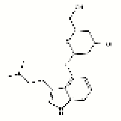 CN(C)CCc1c[nH]c2cccc(OC3CC(O)CC(CO)O3)c12